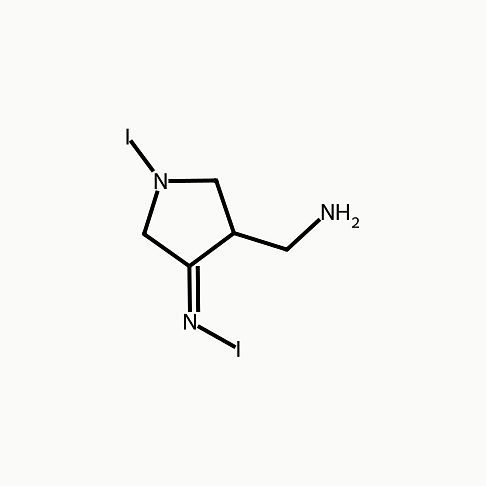 NCC1CN(I)C/C1=N/I